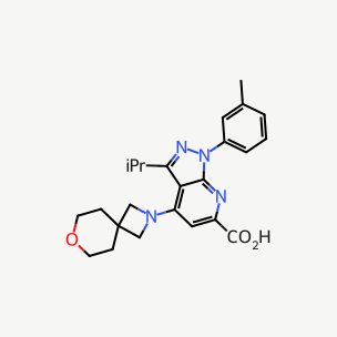 Cc1cccc(-n2nc(C(C)C)c3c(N4CC5(CCOCC5)C4)cc(C(=O)O)nc32)c1